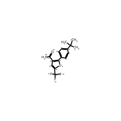 CC(C)(C)c1ccc(-c2oc(C(F)(F)F)cc2C(N)=O)cc1